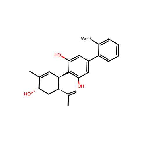 C=C(C)[C@@H]1C[C@H](O)C(C)=C[C@H]1c1c(O)cc(-c2ccccc2OC)cc1O